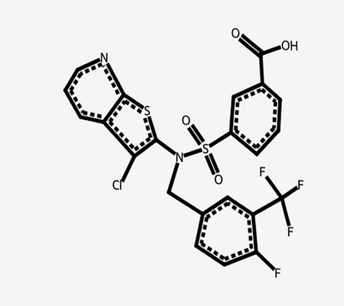 O=C(O)c1cccc(S(=O)(=O)N(Cc2ccc(F)c(C(F)(F)F)c2)c2sc3ncccc3c2Cl)c1